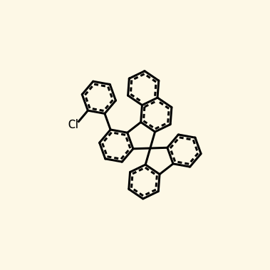 Clc1ccccc1-c1cccc2c1-c1c(ccc3ccccc13)C21c2ccccc2-c2ccccc21